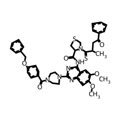 COc1cc2nc(N3CCN(C(=O)c4ccc(OCc5ccccc5)cc4)CC3)nc(NC(=O)C3CSCN3C(=S)C(C)CC(=O)c3ccccc3)c2cc1OC